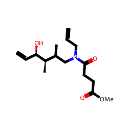 C=CCN(CC(C)[C@@H](C)[C@H](O)C=C)C(=O)CCC(=O)OC